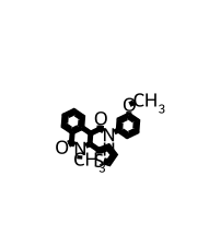 COc1cccc(NC(=O)C2c3ccccc3C(=O)N(C)C2c2cccs2)c1